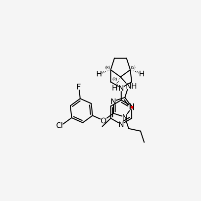 CCCn1nc(N[C@H]2[C@@H]3CC[C@H]2CN(c2cc(C)ncn2)C3)nc1Oc1cc(F)cc(Cl)c1